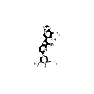 Cc1c(-c2[nH]c3ccc(N4C[C@@H](C)N[C@H](C)C4)nc3c2C(C)C)cn2ncnc2c1C